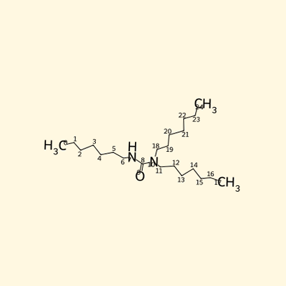 CCCCCCCNC(=O)N(CCCCCCC)CCCCCCC